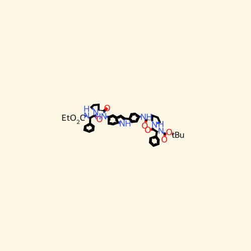 CCOC(=O)N[C@@H](C(=O)N1CCC[C@H]1C(=O)Nc1ccc2[nH]c(-c3ccc(NC(=O)[C@@H]4CCCN4C(=O)[C@H](NC(=O)OC(C)(C)C)c4ccccc4)cc3)cc2c1)c1ccccc1